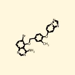 Cc1cc(COc2c(Br)ccc3ncnc(N)c23)ccc1Oc1ccn2ncnc2c1